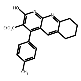 CCOC(=O)c1c(O)nc2nc3c(cc2c1-c1ccc(C)cc1)CCCC3